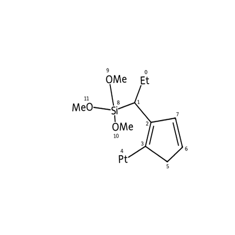 CCC(C1=[C]([Pt])CC=C1)[Si](OC)(OC)OC